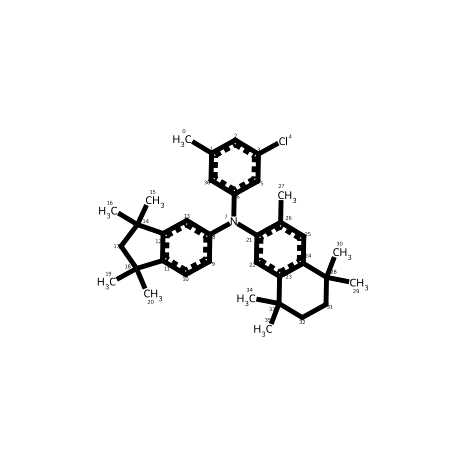 Cc1cc(Cl)cc(N(c2ccc3c(c2)C(C)(C)CC3(C)C)c2cc3c(cc2C)C(C)(C)CCC3(C)C)c1